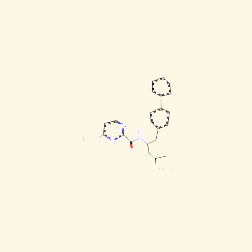 CC(CC(Cc1ccc(-c2ccccc2)cc1)NC(=O)c1nccc(C(=O)O)n1)C(=O)O